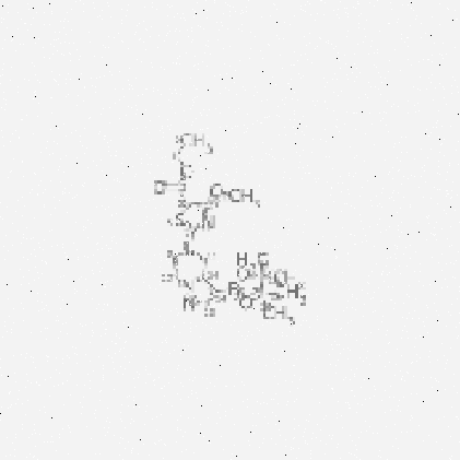 CCOC(=O)c1sc(-c2ccn3ncc(B4OC(C)(C)C(C)(C)O4)c3c2)nc1OC